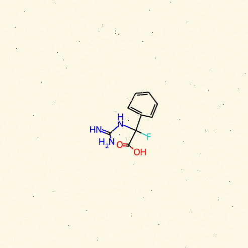 N=C(N)NC(F)(C(=O)O)c1ccccc1